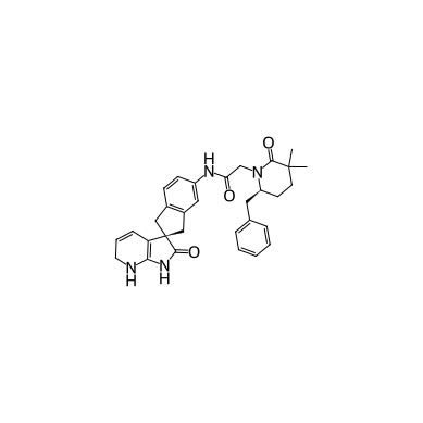 CC1(C)CC[C@@H](Cc2ccccc2)N(CC(=O)Nc2ccc3c(c2)C[C@@]2(C3)C(=O)NC3=C2C=CCN3)C1=O